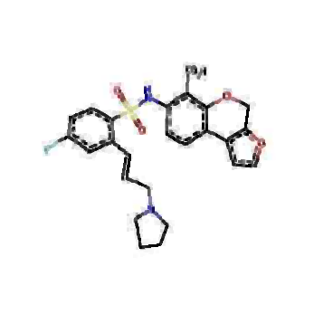 O=C(O)c1c(NS(=O)(=O)c2ccc(F)cc2C=CCN2CCCC2)ccc2c1OCc1occc1-2